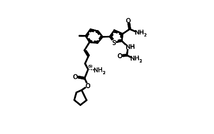 Cc1ccc(-c2cc(C(N)=O)c(NC(N)=O)s2)cc1C=CC[C@H](N)C(=O)OC1CCCC1